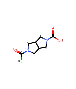 O=C(O)N1CC2CN(C(=O)Cl)CC2C1